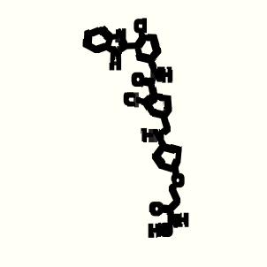 O=C(CCOc1ccc(NCc2ccc(C(=O)Nc3ccc(Cl)c(-c4nc5ccccc5[nH]4)c3)c(Cl)c2)cc1)NO